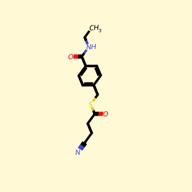 CCNC(=O)c1ccc(CSC(=O)CCC#N)cc1